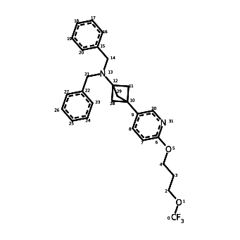 FC(F)(F)OCCCOc1ccc(C23CC(N(Cc4ccccc4)Cc4ccccc4)(C2)C3)cn1